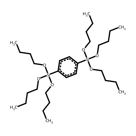 CCCCO[Si](OCCCC)(OCCCC)c1ccc([Si](OCCCC)(OCCCC)OCCCC)cc1